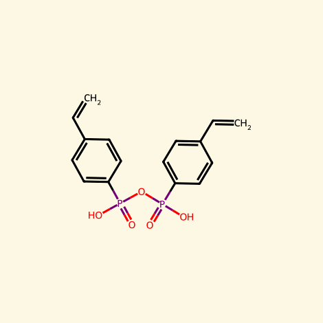 C=Cc1ccc(P(=O)(O)OP(=O)(O)c2ccc(C=C)cc2)cc1